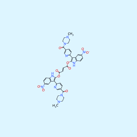 CN1CCN(C(=O)c2ccc(-c3c(OC(=O)/C=C/C(=O)Oc4[nH]c5ccc([N+](=O)[O-])cc5c4-c4ccc(C(=O)N5CCN(C)CC5)cn4)[nH]c4ccc([N+](=O)[O-])cc34)nc2)CC1